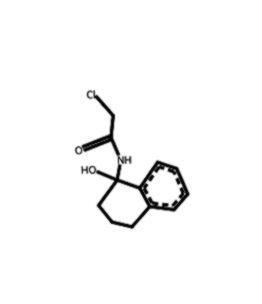 O=C(CCl)NC1(O)CCCc2ccccc21